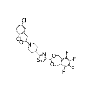 O=C(Cc1cc(Cl)ccc1Cl)N1CCC(c2nc(C3OCc4c(F)c(F)c(F)c(F)c4CO3)cs2)CC1